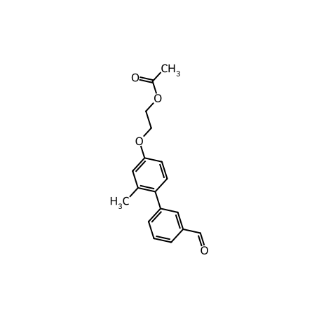 CC(=O)OCCOc1ccc(-c2cccc(C=O)c2)c(C)c1